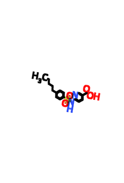 CCCCCc1ccc(S(=O)(=O)Nc2ccc(C(=O)O)cn2)cc1